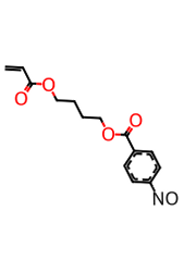 C=CC(=O)OCCCCOC(=O)c1ccc(N=O)cc1